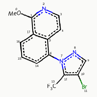 COc1nccc2c(-n3ncc(Br)c3C(F)(F)F)cccc12